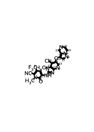 Cn1c(C#N)c(C(F)(F)F)cc(Nc2nc3ncc(Oc4cnn5ccncc45)c(Cl)c3n2C)c1=O